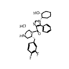 Cl.O=C(c1ncn([C@H]2CCCC[C@H]2O)c1-c1ccccc1)N1CCNC[C@H]1Cc1ccc(F)c(F)c1